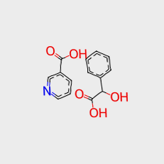 O=C(O)C(O)c1ccccc1.O=C(O)c1cccnc1